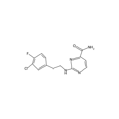 NC(=O)c1ccnc(NC[CH]c2ccc(F)c(Cl)c2)n1